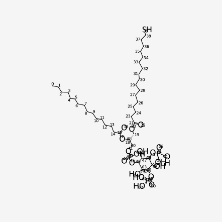 CCCCCCCCCCCCCCCC(=O)O[C@H](COC(=O)CCCCCCCCCCCCCCCCS)COP(=O)(O)OC1C(O)[C@@H](OP(=O)(O)O)C(O)[C@@H](OP(=O)(O)O)[C@H]1O